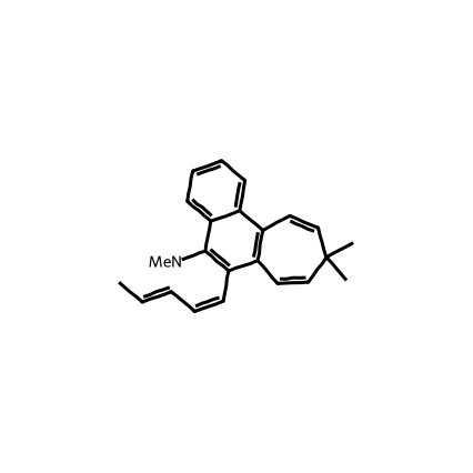 C/C=C/C=C\c1c2c(c3ccccc3c1NC)C=CC(C)(C)C=C2